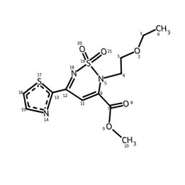 CCOCCN1C(C(=O)OC)=CC(c2nccs2)=NS1(=O)=O